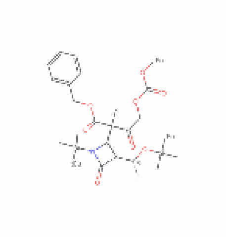 C[C@@H](O[Si](C)(C)C(C)(C)C)C1C(=O)N([Si](C)(C)C(C)(C)C)C1C(C)(C(=O)COC(=O)OC(C)(C)C)C(=O)OCc1ccccc1